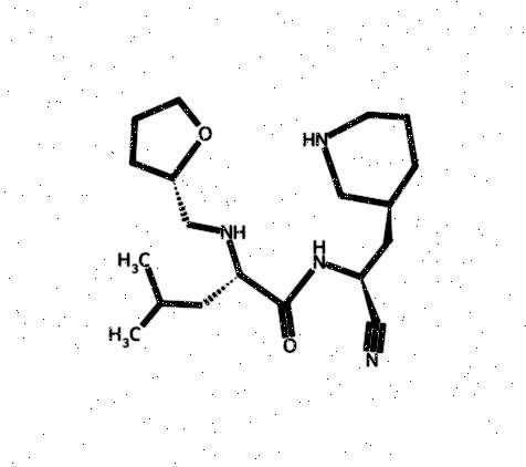 CC(C)C[C@H](NC[C@@H]1CCCO1)C(=O)N[C@H](C#N)C[C@@H]1CCCNC1